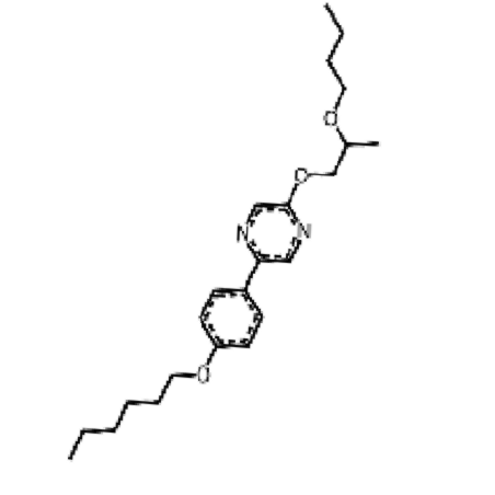 CCCCCCOc1ccc(-c2cnc(OCC(C)OCCCC)cn2)cc1